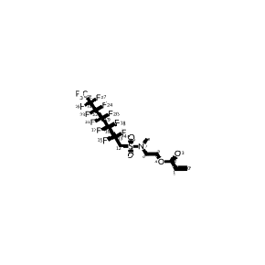 C=CC(=O)OCCN(C)S(=O)(=O)CC(F)(F)C(F)(F)C(F)(F)C(F)(F)C(F)(F)C(F)(F)F